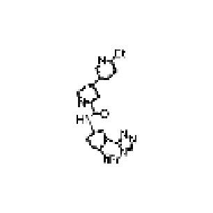 CCCn1cnnc1-c1cc(NC(=O)c2cc(-c3ccc(CC)nc3)ccn2)ccc1F